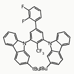 CC(C)(C)c1ccc2c3ccccc3n(-c3cc(-c4cccc(F)c4F)cc(-n4c5ccccc5c5ccc(C(C)(C)C)cc54)c3C(F)(F)F)c2c1